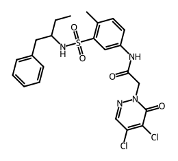 CCC(Cc1ccccc1)NS(=O)(=O)c1cc(NC(=O)Cn2ncc(Cl)c(Cl)c2=O)ccc1C